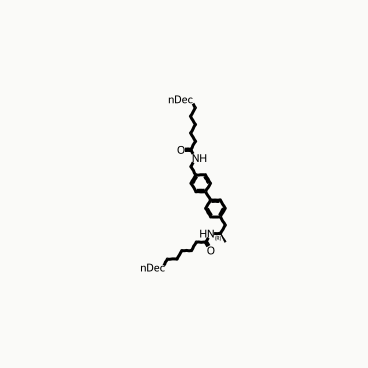 CCCCCCCCCCCCCCCC(=O)NCc1ccc(-c2ccc(C[C@@H](C)NC(=O)CCCCCCCCCCCCCCC)cc2)cc1